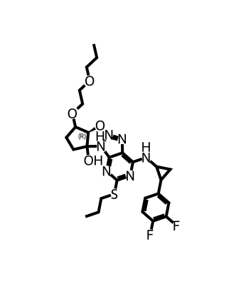 CCCOCCOC1CCC(O)(n2nnc3c(NC4CC4c4ccc(F)c(F)c4)nc(SCCC)nc32)[C@@H]1O